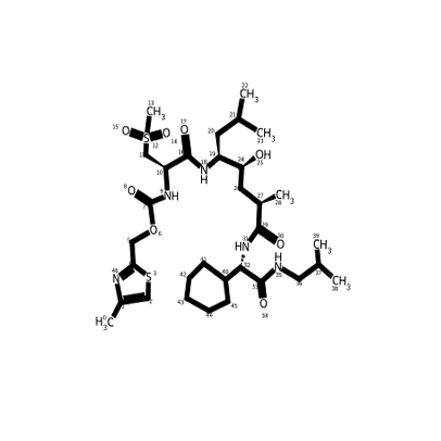 Cc1csc(COC(=O)N[C@@H](CS(C)(=O)=O)C(=O)N[C@@H](CC(C)C)[C@@H](O)C[C@@H](C)C(=O)N[C@H](C(=O)NCC(C)C)C2CCCCC2)n1